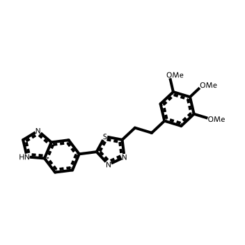 COc1cc(CCc2nnc(-c3ccc4[nH]cnc4c3)s2)cc(OC)c1OC